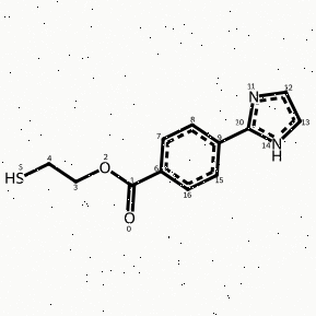 O=C(OCCS)c1ccc(-c2ncc[nH]2)cc1